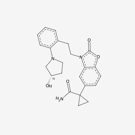 NC(=O)C1(c2ccc3oc(=O)n(CCc4ccccc4N4CC[C@H](O)C4)c3c2)CC1